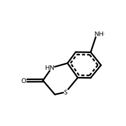 [NH]c1ccc2c(c1)NC(=O)CS2